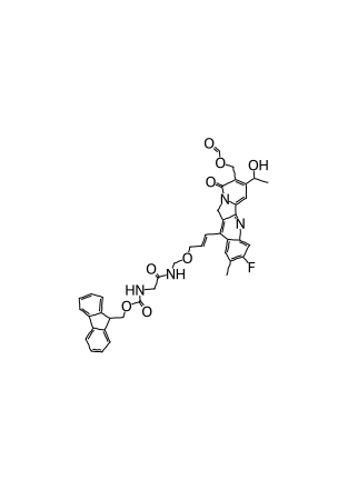 Cc1cc2c(/C=C/COCNC(=O)CNC(=O)OCC3c4ccccc4-c4ccccc43)c3c(nc2cc1F)-c1cc(C(C)O)c(COC=O)c(=O)n1C3